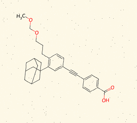 COCOCCCc1ccc(C#Cc2ccc(C(=O)O)cc2)cc1C12CC3CC(CC(C3)C1)C2